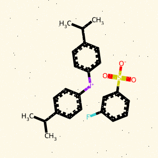 CC(C)c1ccc([I+]c2ccc(C(C)C)cc2)cc1.O=S(=O)([O-])c1cccc(F)c1